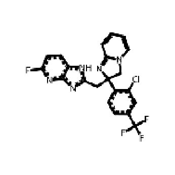 Fc1ccc2[nH]c(CC3(c4ccc(C(F)(F)F)cc4Cl)CN4C=CC=CC4=N3)nc2n1